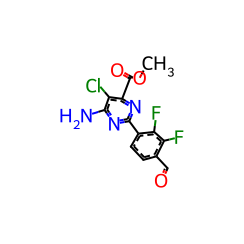 COC(=O)c1nc(-c2ccc(C=O)c(F)c2F)nc(N)c1Cl